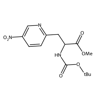 COC(=O)C(Cc1ccc([N+](=O)[O-])cn1)NC(=O)OC(C)(C)C